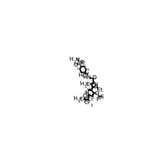 CCn1nc(C(=O)NCC2(O)CCC(S(N)(=O)=O)CC2)c(C)c1-c1cnc(CC(C)(C)C(F)(F)F)cc1OC(F)F